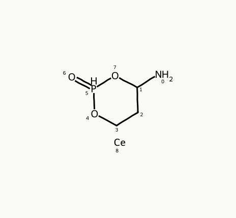 NC1CCO[PH](=O)O1.[Ce]